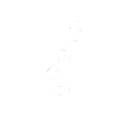 CC(C)[C@@H](NS(=O)(=O)c1ccc2oc3cc(-c4nc5ccccc5o4)ccc3c2c1)C(=O)O